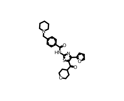 O=C(Nc1nc(-c2ccco2)c(C(=O)C2CCOCC2)s1)c1ccc(CN2CCCCC2)cc1